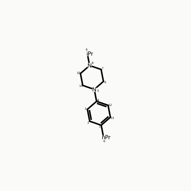 CCCc1ccc(N2CCN(C(C)C)CC2)cc1